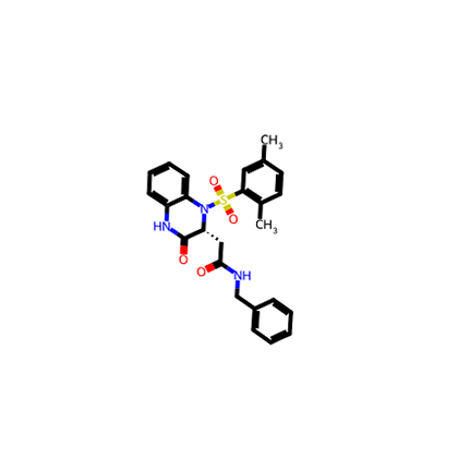 Cc1ccc(C)c(S(=O)(=O)N2c3ccccc3NC(=O)[C@H]2CC(=O)NCc2ccccc2)c1